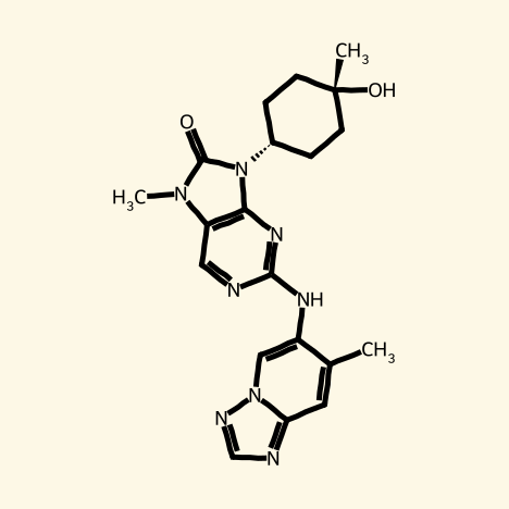 Cc1cc2ncnn2cc1Nc1ncc2c(n1)n([C@H]1CC[C@@](C)(O)CC1)c(=O)n2C